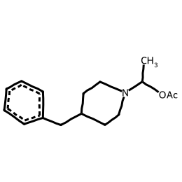 CC(=O)OC(C)N1CCC(Cc2ccccc2)CC1